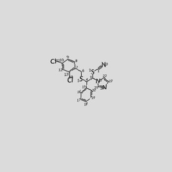 N#CSC(C(SCc1ccc(Cl)cc1Cl)c1ccccc1)n1ccnc1